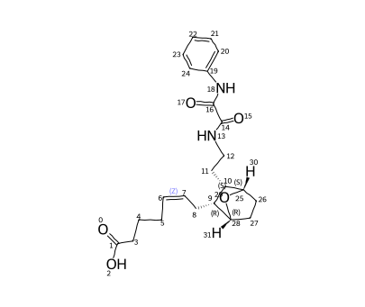 O=C(O)CCC/C=C\C[C@@H]1[C@H](CCNC(=O)C(=O)Nc2ccccc2)[C@@H]2CC[C@H]1O2